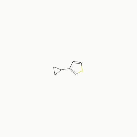 [c]1cc(C2CC2)cs1